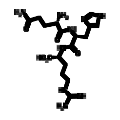 N=C(N)NCCC[C@H](NC(=O)[C@H](Cc1c[nH]cn1)NC(=O)[C@@H](N)CCC(N)=O)C(=O)O